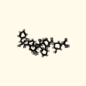 Cc1ccc2c(NS(=O)(=O)Cc3ccccc3)c(F)ccc2c1Oc1ncccc1-c1nc(N[C@H]2C[C@H](F)CN(C(=O)O)C2)ncc1C(C)(C)C